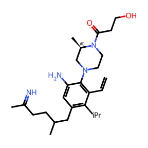 C=Cc1c(C(C)C)c(CC(C)CCC(C)=N)cc(N)c1N1CCN(C(=O)CCO)[C@H](C)C1